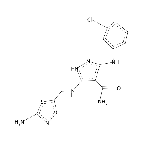 NC(=O)c1c(Nc2cccc(Cl)c2)n[nH]c1NCc1cnc(N)s1